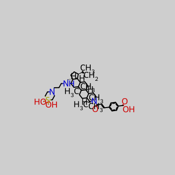 C=C(C)[C@@H]1CC[C@]2(CNCCCN3CCS(O)(O)CC3)CC[C@]3(C)[C@H](CC[C@@H]4[C@@]5(C)CCN(C(=O)/C=C/c6ccc(C(=O)O)cc6)C(C)(C)[C@@H]5CC[C@]43C)[C@@H]12